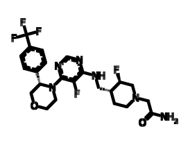 NC(=O)CN1CC[C@H](CNc2ncnc(N3CCOC[C@@H]3c3ccc(C(F)(F)F)cc3)c2F)[C@@H](F)C1